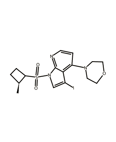 C[C@H]1CCC1S(=O)(=O)n1cc(I)c2c(N3CCOCC3)ccnc21